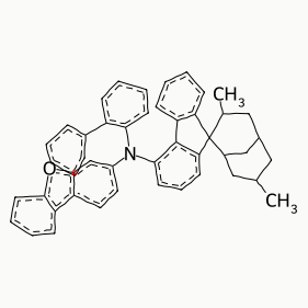 CC1CC2CC(C)C3(c4ccccc4-c4c(N(c5ccc6c(c5)oc5ccccc56)c5ccccc5-c5ccccc5)cccc43)C(C1)C2